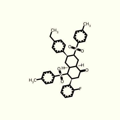 CCc1ccc([C@@H]2C[C@@H]3C(S(=O)(=O)c4ccc(C)cc4)[C@H](c4ccccc4F)CC(=O)[C@@H]3CC2S(=O)(=O)c2ccc(C)cc2)cc1